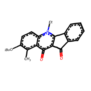 CCn1c2c(c(=O)c3c(C)c(OCC(C)C)ccc31)C(=O)c1ccccc1-2